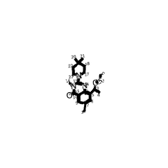 CSOC(C)c1cc(C)cc2c(=O)n(C)c(N3CCC(C)(C)CC3)nc12